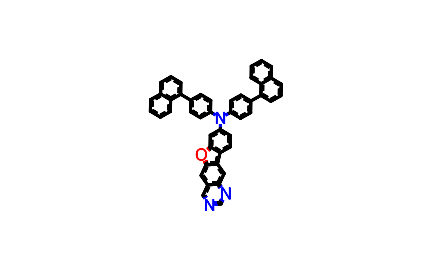 c1ccc2c(-c3ccc(N(c4ccc(-c5cccc6ccccc56)cc4)c4ccc5c(c4)oc4cc6cncnc6cc45)cc3)cccc2c1